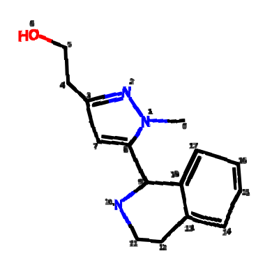 Cn1nc(CCO)cc1C1[N]CCc2ccccc21